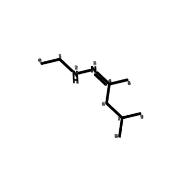 CCNN=C(C)CC(C)C